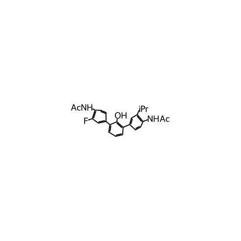 CC(=O)Nc1ccc(-c2cccc(-c3ccc(NC(C)=O)c(C(C)C)c3)c2O)cc1F